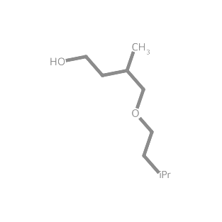 CC(C)CCOCC(C)CCO